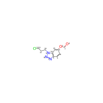 O=COc1ccc2nnn(CCCCl)c2c1